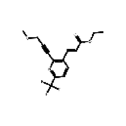 CCOC(=O)/C=C/c1ccc(C(F)(F)F)nc1C#CCOC